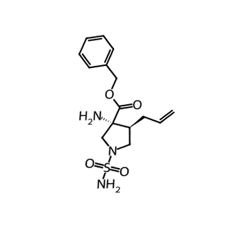 C=CC[C@H]1CN(S(N)(=O)=O)C[C@@]1(N)C(=O)OCc1ccccc1